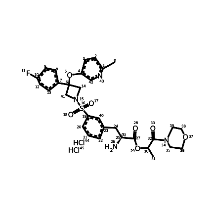 Cc1ccc(OC2(c3ccc(F)cc3)CN(S(=O)(=O)c3cccc(C[C@H](N)C(=O)OC(C)C(=O)N4CCOCC4)c3)C2)cn1.Cl.Cl